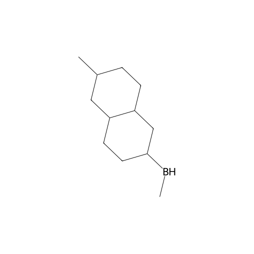 CBC1CCC2CC(C)CCC2C1